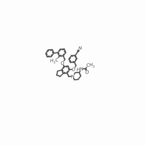 CC(=O)NC1CCCN(Cc2c(OCc3cccc(C#N)c3)cc(OCc3cccc(-c4ccccc4)c3C)c3c2CCC3)C1